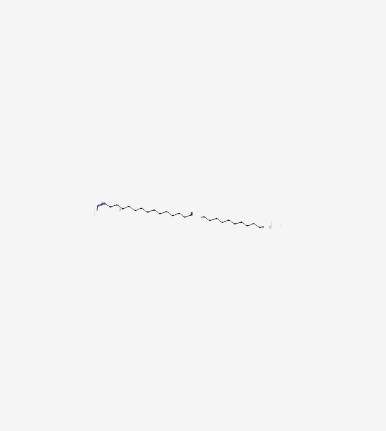 CCCCCCCC/C=C\CCCCCCCCCCCCCC(=O)OCCCCCCCCCCCCCCCCCCCC